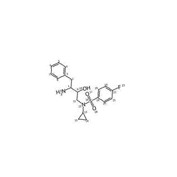 NC(Cc1ccccc1)C(O)CN(C1CC1)S(=O)(=O)c1ccc(F)cc1